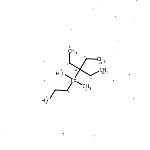 CC[CH2][Pb]([CH3])([CH3])[C](CC)(CC)CC